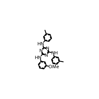 COc1cccc(Nc2nc(Nc3cccc(C)c3)nc(Nc3cccc(C)c3)n2)c1